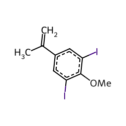 C=C(C)c1cc(I)c(OC)c(I)c1